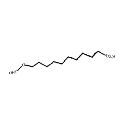 O=COCCCCCCCCCCC(=O)O